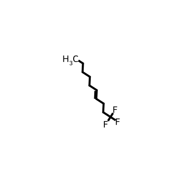 CCCCCC=CCCC(F)(F)F